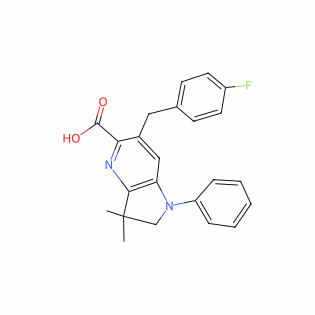 CC1(C)CN(c2ccccc2)c2cc(Cc3ccc(F)cc3)c(C(=O)O)nc21